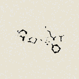 CO[C@H](C)[C@H](NP(=O)(OC[C@@H]1C[C@@](Cl)(Br)[C@H](n2ccc(=O)[nH]c2=O)O1)Oc1ccccc1)C(=O)OC(C)C